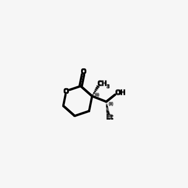 CC[C@@H](O)[C@@]1(C)CCCOC1=O